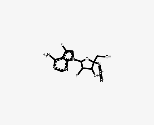 [N-]=[N+]=NC1(CO)OC(n2cc(F)c3c(N)ncnc32)C(F)C1O